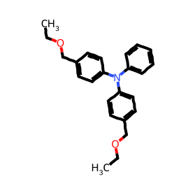 CCOCc1ccc(N(c2ccccc2)c2ccc(COCC)cc2)cc1